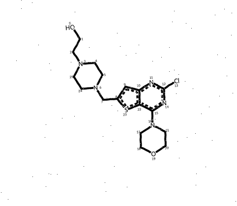 OCCN1CCN(Cc2cc3nc(Cl)nc(N4CCOCC4)c3s2)CC1